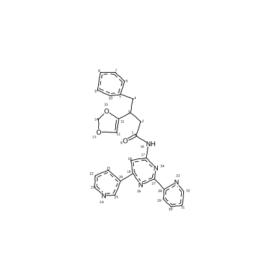 O=C(CC(Cc1ccccc1)C1=COCO1)Nc1cc(-c2cccnc2)nc(-c2ccccn2)n1